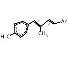 CC(=O)/C=C/C(C)=C/c1ccc(C)cc1